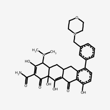 CN(C)C1C(O)=C(C(N)=O)C(=O)C2(O)C(O)=C3C(=O)c4c(O)ccc(-c5cccc(CN6CCOCC6)c5)c4CC3CC12